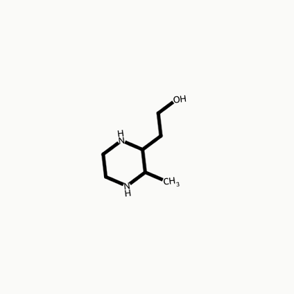 CC1NCCNC1CCO